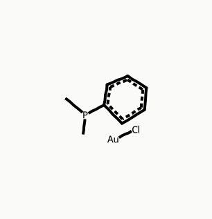 CP(C)c1ccccc1.[Cl][Au]